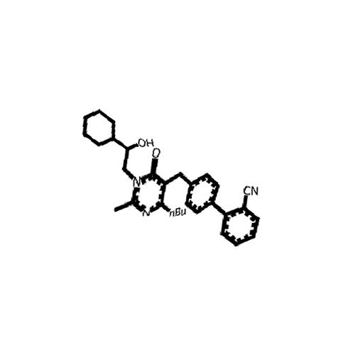 CCCCc1nc(C)n(CC(O)C2CCCCC2)c(=O)c1Cc1ccc(-c2ccccc2C#N)cc1